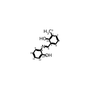 Cc1cccc(C=Nc2ccccc2O)c1O